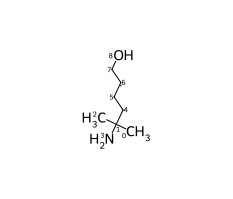 CC(C)(N)CC[CH]CO